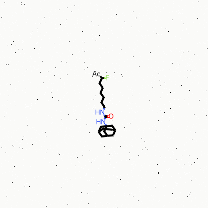 CC(=O)C(F)CCCCCCNC(=O)NC12CC3CC(CC(C3)C1)C2